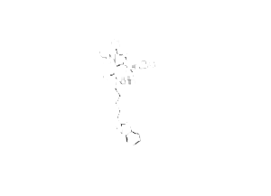 CCCCNc1nc(Cl)[nH]c1C(=O)NCCCCCc1nc2ccccc2s1